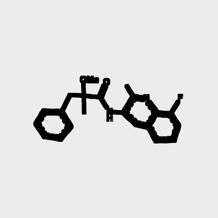 COC(C)(Cc1ccccc1)C(=O)Nc1cc2cccc(F)c2nc1C